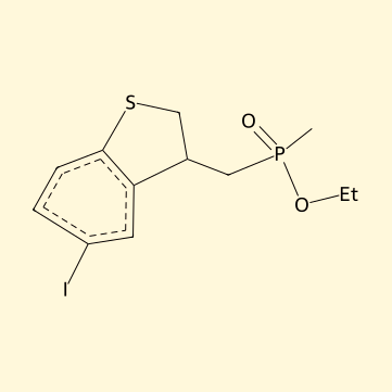 CCOP(C)(=O)CC1CSc2ccc(I)cc21